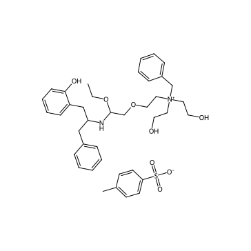 CCOC(COCC[N+](CCO)(CCO)Cc1ccccc1)NC(Cc1ccccc1)Cc1ccccc1O.Cc1ccc(S(=O)(=O)[O-])cc1